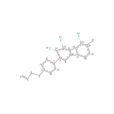 C=CCCc1ccc(-c2cc3c(c(F)c2F)-c2c-3ccc(C)c2F)cc1